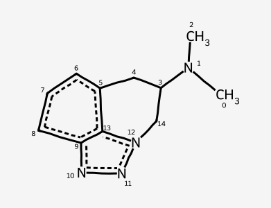 CN(C)C1Cc2cccc3nnn(c23)C1